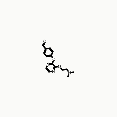 CN(C)CCOc1nccnc1Oc1ccc(C=O)cc1